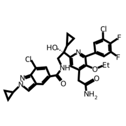 CCOc1c(CC(N)=O)cc([C@@](O)(CNC(=O)c2cc(Cl)c3nn(C4CC4)cc3c2)C2CC2)nc1-c1cc(F)c(F)c(Cl)c1